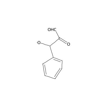 [O]C(C(=O)C=O)c1ccccc1